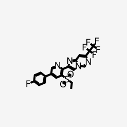 CCS(=O)(=O)c1cc(-c2ccc(F)cc2)cnc1-c1cn2cnc(C(F)(F)C(F)(F)F)cc2n1